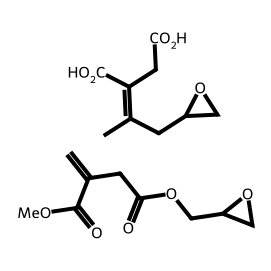 C=C(CC(=O)OCC1CO1)C(=O)OC.CC(CC1CO1)=C(CC(=O)O)C(=O)O